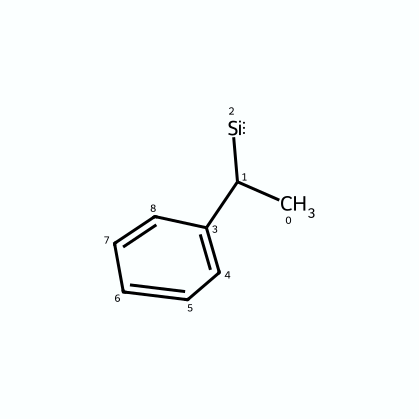 CC([Si])c1ccccc1